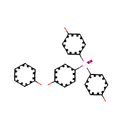 O=P(c1ccc(O)cc1)(c1ccc(O)cc1)c1ccc(Oc2ccccc2)cc1